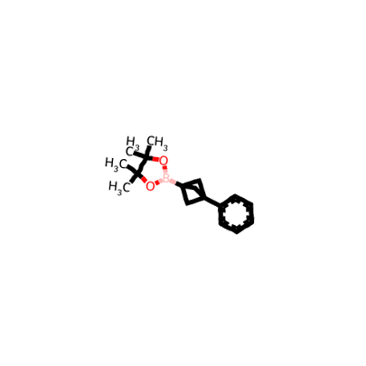 CC1(C)OB(C23CC(c4ccccc4)(C2)C3)OC1(C)C